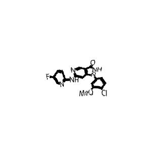 COc1cc(-n2[nH]c(=O)c3cnc(Nc4ccc(F)cn4)cc32)ccc1Cl